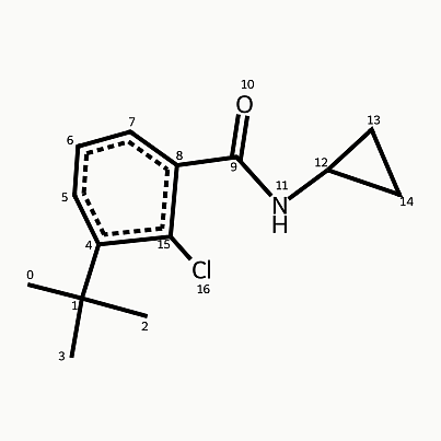 CC(C)(C)c1cccc(C(=O)NC2CC2)c1Cl